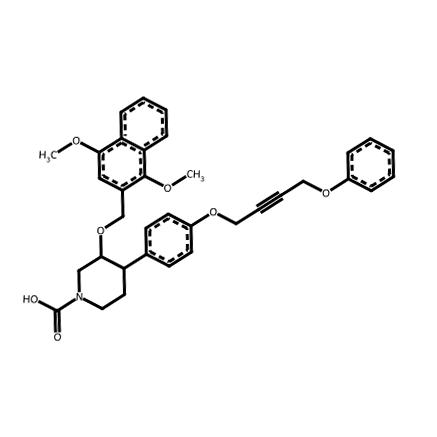 COc1cc(COC2CN(C(=O)O)CCC2c2ccc(OCC#CCOc3ccccc3)cc2)c(OC)c2ccccc12